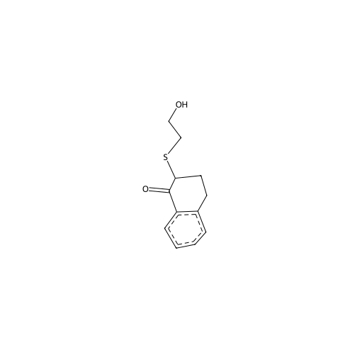 O=C1c2ccccc2CCC1SCCO